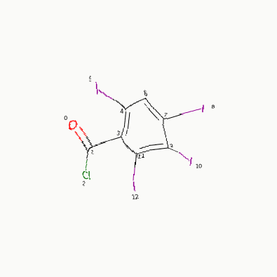 O=C(Cl)c1c(I)cc(I)c(I)c1I